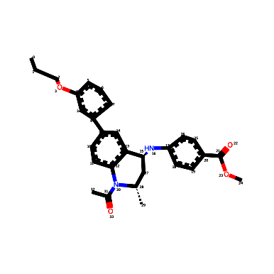 CCCOc1cccc(-c2ccc3c(c2)[C@H](Nc2ccc(C(=O)OC)cc2)C[C@H](C)N3C(C)=O)c1